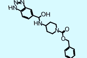 O=C(OCc1ccccc1)N1CCC(NC(O)c2ccc3[nH]nnc3c2)CC1